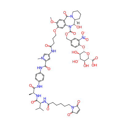 COc1cc2c(cc1OCCCC(=O)Nc1cc(C(=O)Nc3ccc(NC(=O)[C@H](C)NC(=O)[C@@H](NC(=O)CCCCCN4C(=O)C=CC4=O)C(C)C)cc3)n(C)c1)N(C(=O)OCc1ccc(O[C@@H]3O[C@H](C(=O)O)[C@@H](O)[C@H](O)[C@H]3O)c([N+](=O)[O-])c1)C(O)[C@@H]1CCCCN1C2=O